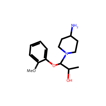 COc1ccccc1OC(C(C)O)N1CCC(N)CC1